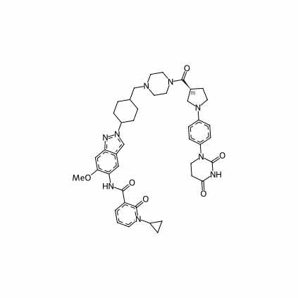 COc1cc2nn(C3CCC(CN4CCN(C(=O)[C@H]5CCN(c6ccc(N7CCC(=O)NC7=O)cc6)C5)CC4)CC3)cc2cc1NC(=O)c1cccn(C2CC2)c1=O